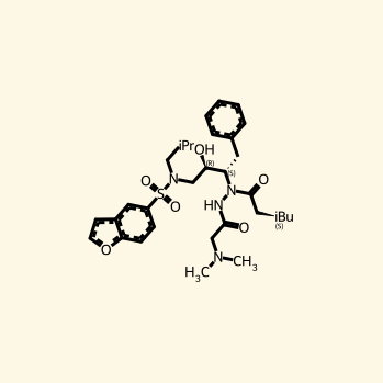 CC[C@H](C)CC(=O)N(NC(=O)CN(C)C)[C@@H](Cc1ccccc1)[C@H](O)CN(CC(C)C)S(=O)(=O)c1ccc2occc2c1